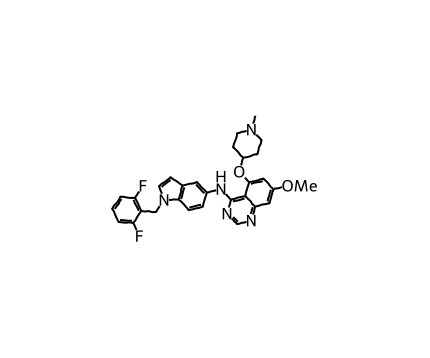 COc1cc(OC2CCN(C)CC2)c2c(Nc3ccc4c(ccn4Cc4c(F)cccc4F)c3)ncnc2c1